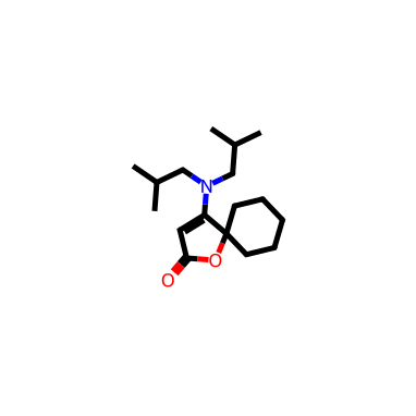 CC(C)CN(CC(C)C)C1=CC(=O)OC12CCCCC2